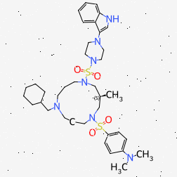 C[C@H]1CN(S(=O)(=O)c2ccc(N(C)C)cc2)CCCN(CC2CCCCC2)CCCN(S(=O)(=O)N2CCN(c3c[nH]c4ccccc34)CC2)C1